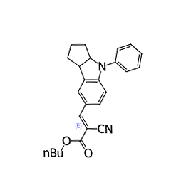 CCCCOC(=O)/C(C#N)=C/c1ccc2c(c1)C1CCCC1N2c1ccccc1